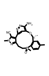 Cc1ccc2c(c1)[C@@H](C)Oc1cc(nnc1N)-c1c(nn(C)c1C#N)CCP2(C)=O